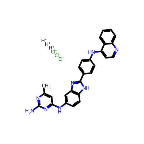 Cc1cc(Nc2ccc3[nH]c(-c4ccc(Nc5ccnc6ccccc56)cc4)nc3c2)nc(N)n1.[Cl-].[Cl-].[Cl-].[H+].[H+].[H+]